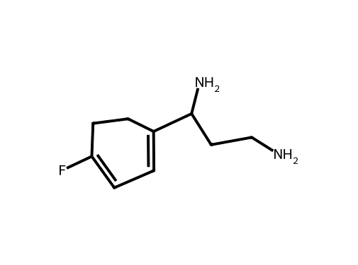 NCCC(N)C1=CC=C(F)CC1